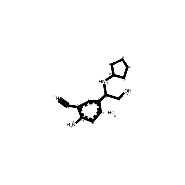 Cl.N#Cc1cc(C(CO)NC2CCCC2)ccc1N